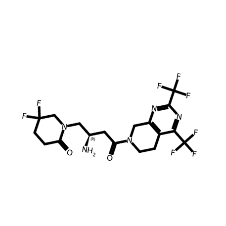 N[C@H](CC(=O)N1CCc2c(nc(C(F)(F)F)nc2C(F)(F)F)C1)CN1CC(F)(F)CCC1=O